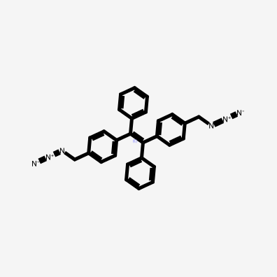 [N-]=[N+]=NCc1ccc(/C(=C(\c2ccccc2)c2ccc(CN=[N+]=[N-])cc2)c2ccccc2)cc1